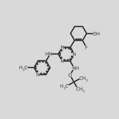 Cc1cc(Nc2nc(NOC(C)(C)C)nc(C3=C(F)C(O)CCC3)n2)ccn1